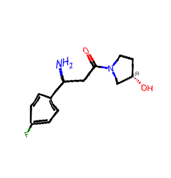 NC(CC(=O)N1CC[C@H](O)C1)c1ccc(F)cc1